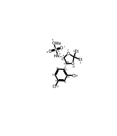 CCC1(CC)O[C@@H](NS(=O)(=O)OC)[C@@H](c2ccc(Cl)cc2Cl)O1